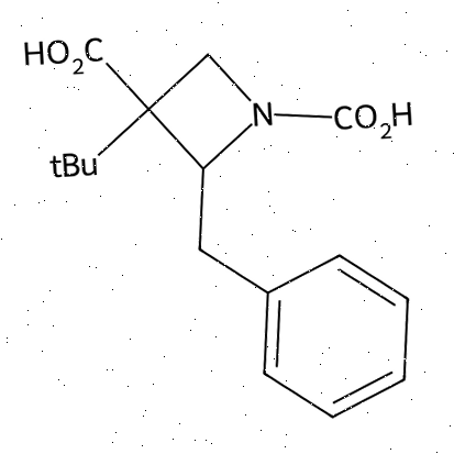 CC(C)(C)C1(C(=O)O)CN(C(=O)O)C1Cc1ccccc1